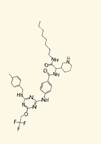 CCCCCCCCNC(=O)C(NC(=O)c1ccc(Nc2nc(NCc3ccc(C)cc3)nc(OCC(F)(F)F)n2)cc1)C1CCCNC1